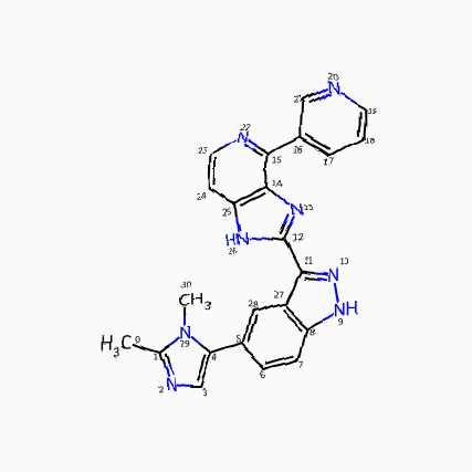 Cc1ncc(-c2ccc3[nH]nc(-c4nc5c(-c6cccnc6)nccc5[nH]4)c3c2)n1C